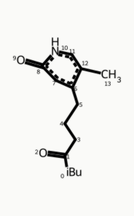 CCC(C)C(=O)CCCc1cc(=O)[nH]cc1C